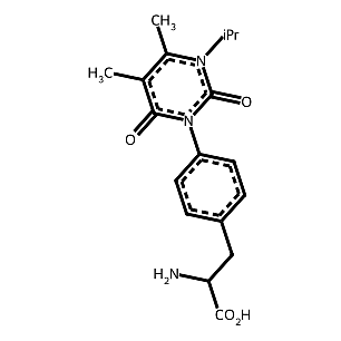 Cc1c(C)n(C(C)C)c(=O)n(-c2ccc(CC(N)C(=O)O)cc2)c1=O